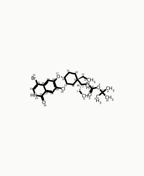 CC[C@@H](NC(=O)OC(C)(C)C)[C@]1(CC)CC[C@H](Oc2cc3c(Br)c[nH]c(=O)c3cc2Cl)CC1